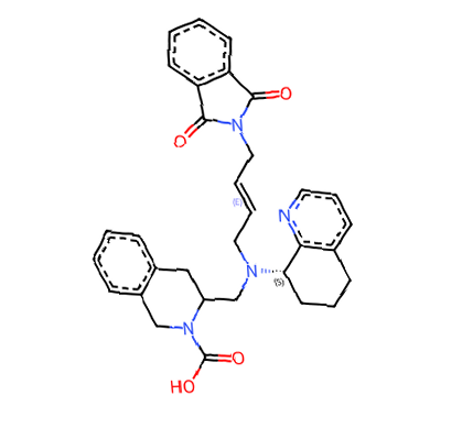 O=C1c2ccccc2C(=O)N1C/C=C/CN(CC1Cc2ccccc2CN1C(=O)O)[C@H]1CCCc2cccnc21